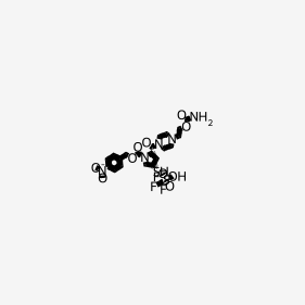 NC(=O)OCCN1CCN(C(=O)[C@@H]2C[C@H](S)CN2C(=O)OCc2ccc([N+](=O)[O-])cc2)CC1.O=S(=O)(O)C(F)(F)F